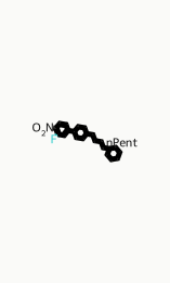 CCCCCC1(CCCCC2CCC(c3ccc([N+](=O)[O-])c(F)c3)CC2)CCCCC1